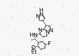 CCOc1ccc(F)cc1C(C)Nc1ccn2ncc(-c3cn[nH]c3)c2n1